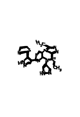 CC[C@H]1c2nnc(C)n2-c2cnc(-c3cn[nH]c3-c3nccs3)nc2N1c1cn[nH]c1